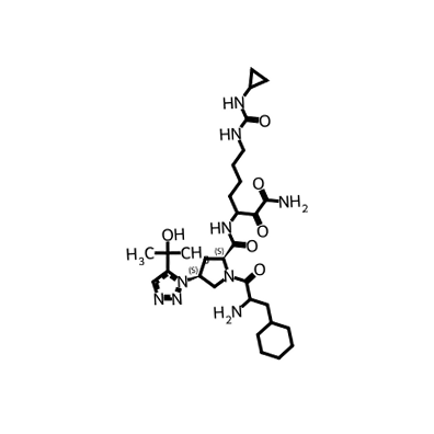 CC(C)(O)c1cnnn1[C@H]1C[C@@H](C(=O)NC(CCCCNC(=O)NC2CC2)C(=O)C(N)=O)N(C(=O)C(N)CC2CCCCC2)C1